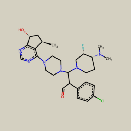 C[C@@H]1C[C@@H](O)c2ncnc(N3CCN(C(C(C=O)c4ccc(Cl)cc4)N4CC[C@@H](N(C)C)[C@@H](F)C4)CC3)c21